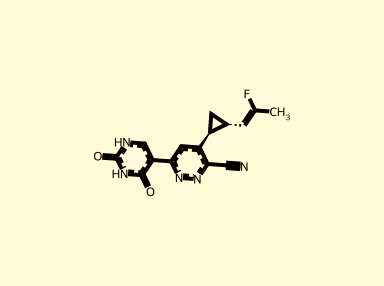 C/C(F)=C/[C@H]1C[C@@H]1c1cc(-c2c[nH]c(=O)[nH]c2=O)nnc1C#N